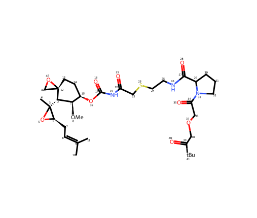 CO[C@H]1[C@H](C2(C)O[C@@H]2CC=C(C)C)[C@]2(CC[C@H]1OC(=O)NC(=O)CSCCNC(=O)C1CCCN1C(=O)COCC(=O)C(C)(C)C)CO2